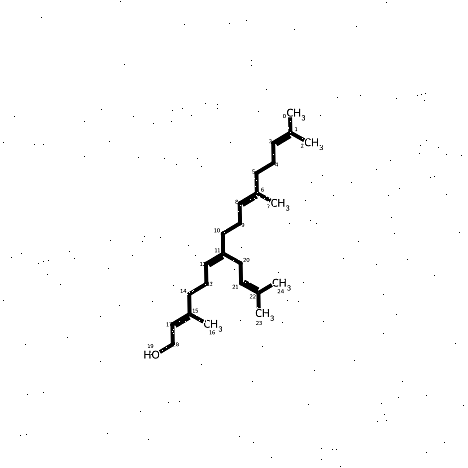 CC(C)=CCC/C(C)=C/CC/C(=C/CC/C(C)=C/CO)CC=C(C)C